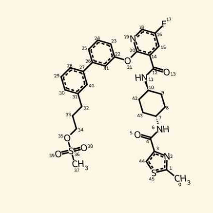 Cc1nc(C(=O)N[C@H]2CC[C@H](NC(=O)c3cc(F)cnc3Oc3cccc(-c4cccc(CCCOS(C)(=O)=O)c4)c3)CC2)cs1